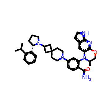 CC(C)c1ccccc1[C@@H]1CCCN1C1CC2(CCN(c3ccc(C(N)=O)c(N4c5cc6cc[nH]c6nc5OCC4C)c3)CC2)C1